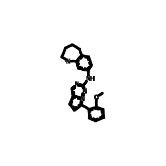 COc1ccccc1-c1ccc2cnc(Nc3ccc4c(c3)[N]CCCC4)nn12